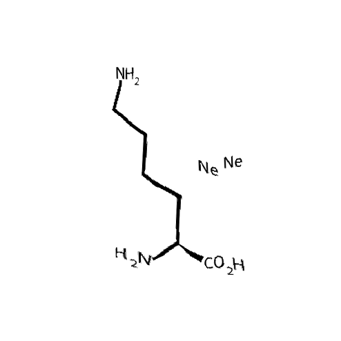 NCCCC[C@H](N)C(=O)O.[Ne].[Ne]